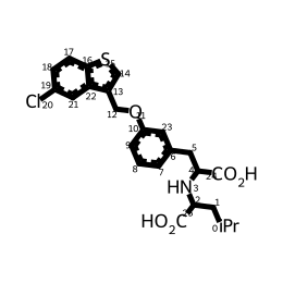 CC(C)CC(NC(Cc1cccc(OCc2csc3ccc(Cl)cc23)c1)C(=O)O)C(=O)O